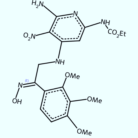 CCOC(=O)Nc1cc(NC/C(=N/O)c2ccc(OC)c(OC)c2OC)c([N+](=O)[O-])c(N)n1